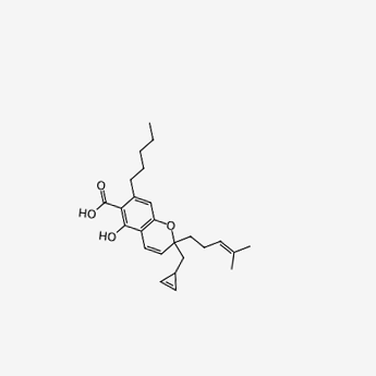 CCCCCc1cc2c(c(O)c1C(=O)O)C=CC(CCC=C(C)C)(CC1C=C1)O2